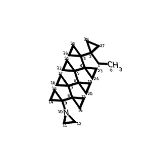 CCC1(C2(C3(C4(C5(C6(C7(C8(N9CC9)CC8)CC7)CC6)CC5)CC4)CC3)CC2)CC1